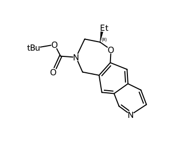 CC[C@@H]1CN(C(=O)OC(C)(C)C)Cc2cc3cnccc3cc2O1